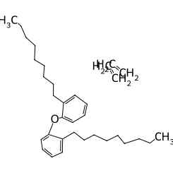 C=C.C=C.CCCCCCCCCc1ccccc1Oc1ccccc1CCCCCCCCC